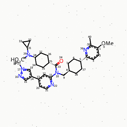 COc1ccc([C@H]2CC[C@H](CN(c3cc(-c4cnn(C(C)C)c4)ccn3)C(=O)[C@H]3CC[C@H](N(C(=O)O)C4CC4)CC3)CC2)nc1C